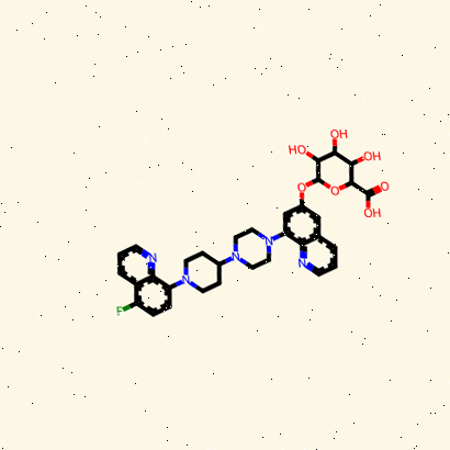 O=C(O)C1OC(Oc2cc(N3CCN(C4CCN(c5ccc(F)c6cccnc56)CC4)CC3)c3ncccc3c2)C(O)C(O)C1O